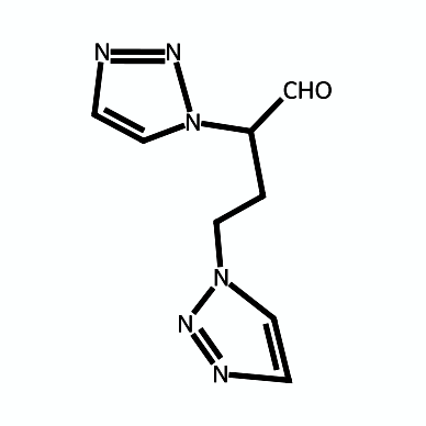 O=CC(CCn1ccnn1)n1ccnn1